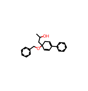 CC(O)CC1(OCc2ccccc2)C=CC(c2ccccc2)=CC1